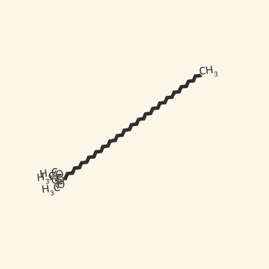 CCCCCCCCCCCCCCCCCCCCCCCCCCCCCCCCCCCCCCCC[Si](OC)(OC)OC